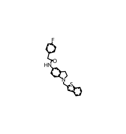 O=C(Cc1ccc(F)cc1)Nc1ccc2c(c1)CCN2Cc1cc2ccccc2s1